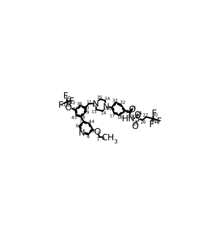 CCOc1cncc(-c2cc(CN3CCN(c4ccc(C(=O)NS(=O)(=O)CCC(F)(F)F)cc4)CC3)cc(OC(F)(F)F)c2)c1